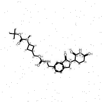 CN(C(=O)OC(C)(C)C)C1CC(COC(=O)NCc2ccc3c(c2)C(=O)N(C2CCC(=O)NC2=O)C3)C1